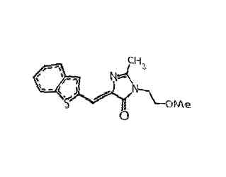 COCCN1C(=O)/C(=C/c2cc3ccccc3s2)N=C1C